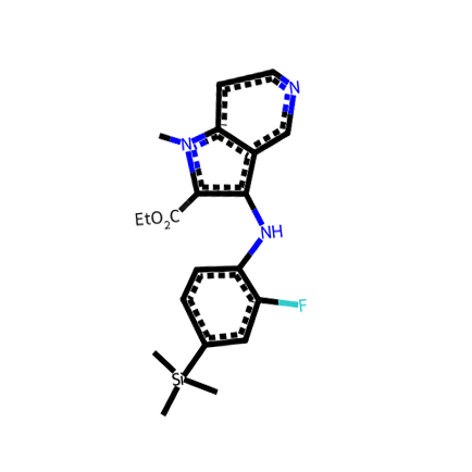 CCOC(=O)c1c(Nc2ccc([Si](C)(C)C)cc2F)c2cnccc2n1C